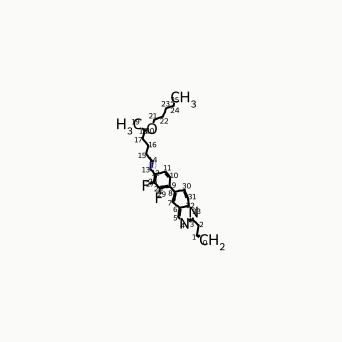 C=CCc1ncc2cc(-c3ccc(/C=C/CCCC(C)OCCCCC)c(F)c3F)ccc2n1